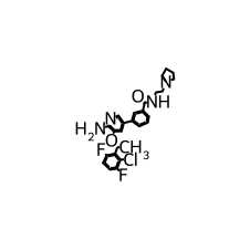 CC(Oc1cc(-c2cccc(C(=O)NCCN3CCCC3)c2)cnc1N)c1c(F)ccc(F)c1Cl